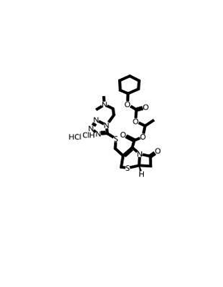 CC(OC(=O)OC1CCCCC1)OC(=O)C1=C(CSc2nnnn2CCN(C)C)CS[C@H]2CC(=O)N12.Cl.Cl